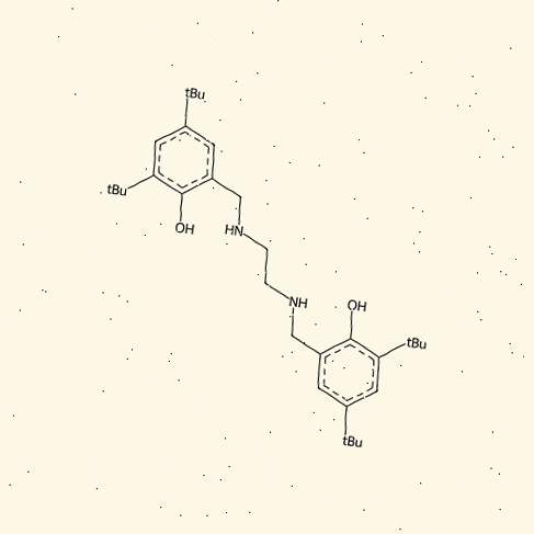 CC(C)(C)c1cc(CNCCNCc2cc(C(C)(C)C)cc(C(C)(C)C)c2O)c(O)c(C(C)(C)C)c1